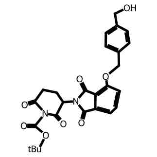 CC(C)(C)OC(=O)N1C(=O)CCC(N2C(=O)c3cccc(OCc4ccc(CO)cc4)c3C2=O)C1=O